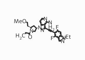 C=CC(=O)N1C[C@@H](n2nc(C#Cc3c(F)cc4c(cnn4CC)c3F)c3c(N)nccc32)C[C@@H]1CCOC